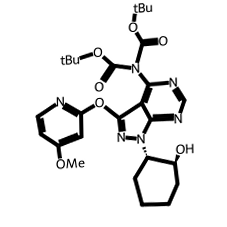 COc1ccnc(Oc2nn([C@H]3CCCC[C@@H]3O)c3ncnc(N(C(=O)OC(C)(C)C)C(=O)OC(C)(C)C)c23)c1